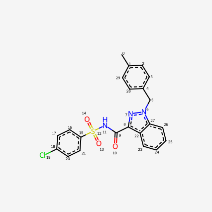 Cc1ccc(Cn2nc(C(=O)NS(=O)(=O)c3ccc(Cl)cc3)c3ccccc32)cc1